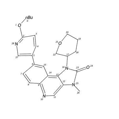 CCCCOc1ccc(-c2ccc3ncc4c(c3c2)n(C2CCCOC2)c(=O)n4C)cn1